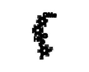 COc1ccc(-c2cncc(C(=O)NN=Cc3cc(C)cc(C)c3)n2)cc1